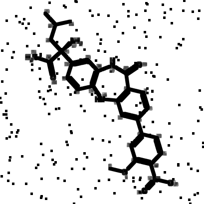 COc1cc(-c2ccc3c(c2)Nc2ccc([C@@](N)(CC(C)C)C(N)=O)cc2NC3=O)ccc1[N+](=O)[O-]